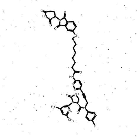 Cc1cc(C(F)(F)F)cc(N2C(=O)NC[C@H]2C(=O)N(CC#Cc2ccc(NC(=O)CCCCCCCOc3ccc4c(c3)C(=O)N(C3CCC(=O)NC3=O)C4=O)nn2)c2ccc(F)cc2)n1